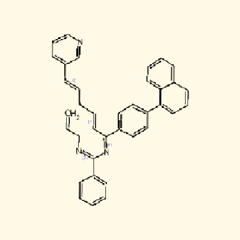 C=CC\N=C(/N=C(\C=C\C/C=C/c1cccnc1)c1ccc(-c2cccc3ccccc23)cc1)c1ccccc1